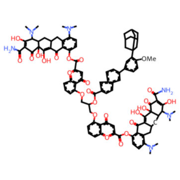 COc1ccc(-c2ccc3cc(C(=O)OC(COc4cccc5oc(C(=O)Oc6ccc(N(C)C)c7c6C(=O)C6=C(O)C8(O)C(=O)C(C(N)=O)=C(O)C(N(C)C)C8CC6C7)cc(=O)c45)COc4cccc5oc(C(=O)Oc6ccc(N(C)C)c7c6C(=O)C6=C(O)C8(O)C(=O)C(C(N)=O)=C(O)C(N(C)C)C8CC6C7)cc(=O)c45)ccc3c2)cc1C12CC3CC(CC(C3)C1)C2